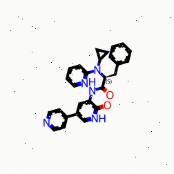 O=C(Nc1cc(-c2ccncc2)c[nH]c1=O)[C@H](Cc1ccccc1)N(c1ccccn1)C1CC1